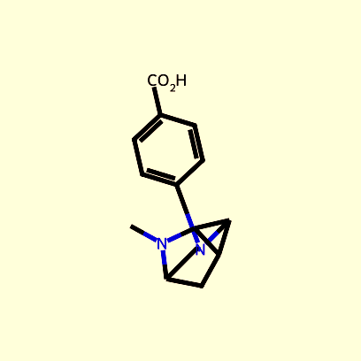 CN1C2CC3C(C31)N(c1ccc(C(=O)O)cc1)C2